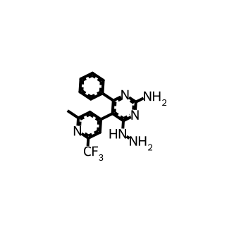 Cc1cc(-c2c(NN)nc(N)nc2-c2ccccc2)cc(C(F)(F)F)n1